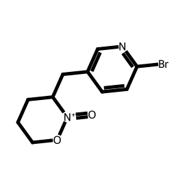 O=[N+]1OCCCC1Cc1ccc(Br)nc1